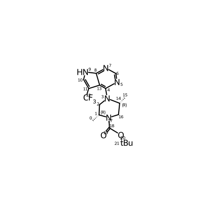 C[C@@H]1CN(c2ncnc3[nH]cc(C(F)(F)F)c23)[C@H](C)CN1C(=O)OC(C)(C)C